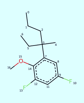 CCCC(C)(CC)c1cc(F)cc(F)c1OC